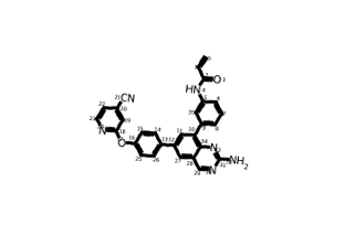 C=CC(=O)Nc1cccc(-c2cc(-c3ccc(Oc4cc(C#N)ccn4)cc3)cc3cnc(N)nc23)c1